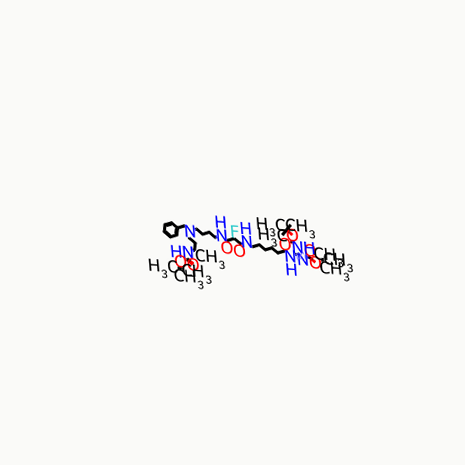 CC(CCN(CCCCNC(=O)C(F)C(=O)NCCCCCCN/C(=N/C(=O)OC(C)(C)C)NC(=O)OC(C)(C)C)Cc1ccccc1)NC(=O)OC(C)(C)C